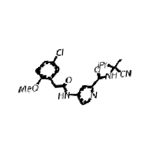 COc1ccc(Cl)cc1CC(=O)Nc1ccnc(C(=O)NC(C)(C#N)C(C)C)c1